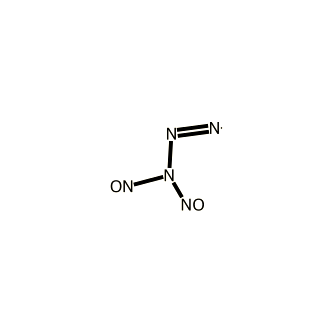 [N]=NN(N=O)N=O